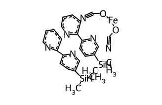 C[SiH](C)c1ccc(-c2ccccn2)nc1.C[SiH](C)c1ccc(-c2ccccn2)nc1.N#C[O][Fe][O]C#N